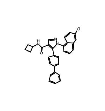 O=C(NC1CCC1)c1cnn(-c2cccc3cc(Cl)ccc23)c1-c1ccc(-c2ccccc2)cc1